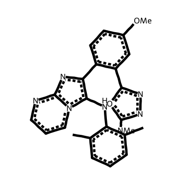 CNc1nnc(-c2cc(OC)ccc2-c2nc3ncccn3c2Nc2c(C)cccc2C)o1